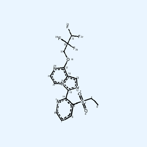 CCS(=O)(=O)c1cccnc1-c1ncc2c(OCC(F)(F)C(F)F)nccn12